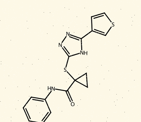 O=C(Nc1ccccc1)C1(Sc2nnc(-c3ccsc3)[nH]2)CC1